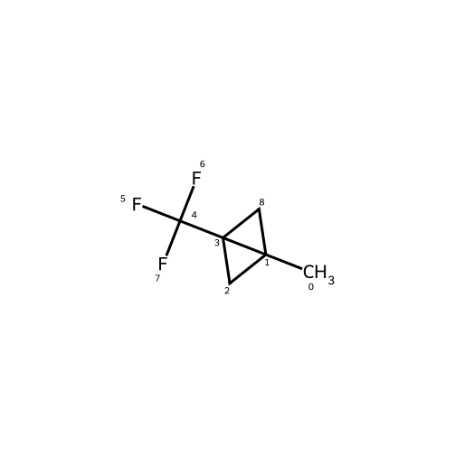 CC12CC1(C(F)(F)F)C2